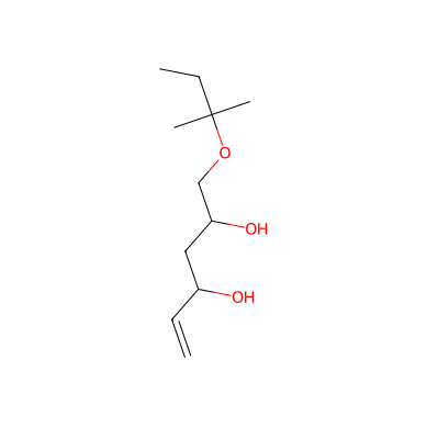 C=CC(O)CC(O)COC(C)(C)CC